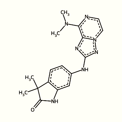 CN(C)c1nccn2nc(Nc3ccc4c(c3)NC(=O)C4(C)C)nc12